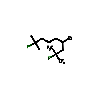 CCC(CCCC(C)(C)F)CC(F)(C(F)(F)F)C(F)(F)F